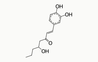 CCCC(O)CC(=O)/C=C/c1ccc(O)c(O)c1